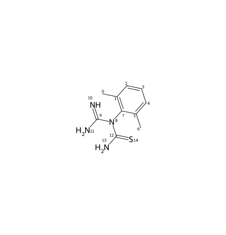 Cc1cccc(C)c1N(C(=N)N)C(N)=S